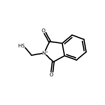 O=C1c2ccccc2C(=O)[N+]1CS